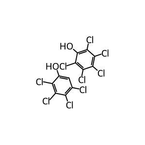 Oc1c(Cl)c(Cl)c(Cl)c(Cl)c1Cl.Oc1cc(Cl)c(Cl)c(Cl)c1Cl